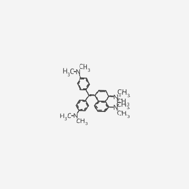 CN(C)c1ccc(C(=C2C=CC(=[N+](C)C)c3c2cccc3N(C)C)c2ccc(N(C)C)cc2)cc1